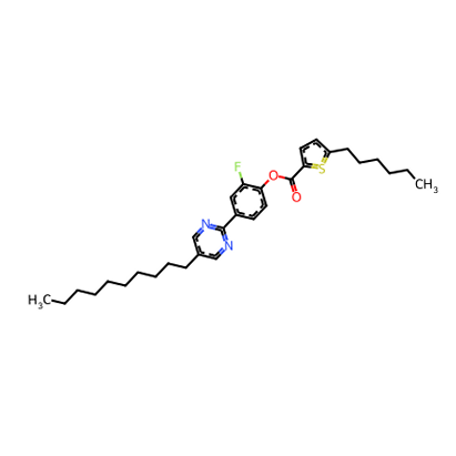 CCCCCCCCCCc1cnc(-c2ccc(OC(=O)c3ccc(CCCCCC)s3)c(F)c2)nc1